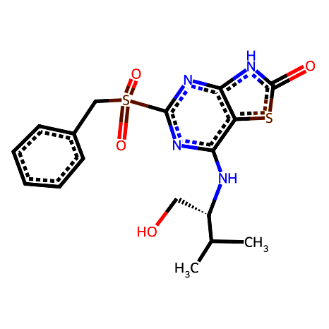 CC(C)[C@H](CO)Nc1nc(S(=O)(=O)Cc2ccccc2)nc2[nH]c(=O)sc12